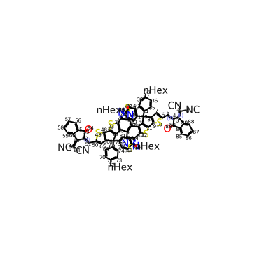 [C-]#[N+]/C(C#N)=C1/C(=C/c2cc3c(s2)-c2sc4c5nsnc5c5c6c7c(sc6c6nsnc6c5c4c2C3(c2ccc(CCCCCC)cc2)c2ccc(CCCCCC)cc2)-c2sc(/C=C3\C(=O)c4ccccc4C3=C(C#N)C#N)cc2C7(c2ccc(CCCCCC)cc2)c2ccc(CCCCCC)cc2)C(=O)c2ccccc21